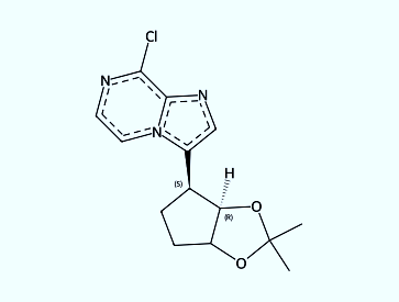 CC1(C)OC2CC[C@@H](c3cnc4c(Cl)nccn34)[C@H]2O1